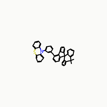 CC1(C)c2ccccc2C2(c3ccccc3-c3c(-c4cccc(N5c6ccccc6Sc6ccccc65)c4)cccc32)c2ccccc21